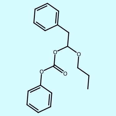 CCCOC(Cc1ccccc1)OC(=O)Oc1ccccc1